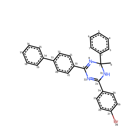 CC1(c2ccccc2)N=C(c2ccc(-c3ccccc3)cc2)N=C(c2ccc(Br)cc2)N1